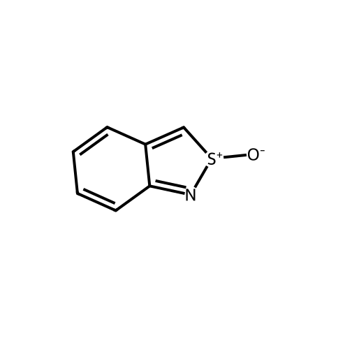 [O-][s+]1cc2ccccc2n1